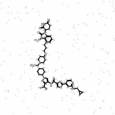 CC([C@H]1CC[C@H](n2cc(NC(=O)c3coc(-c4ccnc(NCC5CC5)c4)n3)c(C(F)F)n2)CC1)N1CCC(OCCCc2cccc3c2n(C)c(=O)n3C2CCC(=O)NC2=O)CC1